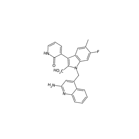 Cc1cc2c(-c3ccc[nH]c3=O)c(C(=O)O)n(Cc3cc(N)nc4ccccc34)c2cc1F